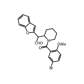 COc1ccc(Br)cc1C(=O)N1CCCCC1C(C=O)c1cc2ccccc2o1